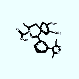 CNC(=O)N1N=C(c2cccc(-c3c(C)noc3C)c2)c2cc(OC)c(OC)cc2CC1C